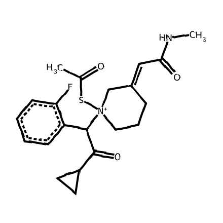 CNC(=O)/C=C1\CCC[N+](SC(C)=O)(C(C(=O)C2CC2)c2ccccc2F)C1